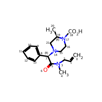 C=CCN(C)C(=O)[C@@H](c1ccccc1)N1CCN(C(=O)O)[C@H](C)C1